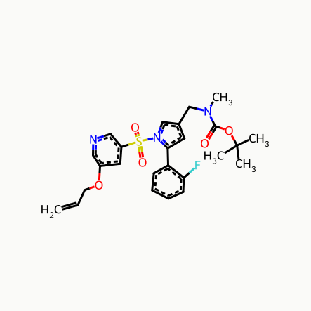 C=CCOc1cncc(S(=O)(=O)n2cc(CN(C)C(=O)OC(C)(C)C)cc2-c2ccccc2F)c1